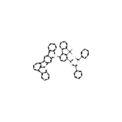 CC1(C)c2ccccc2-c2c(-n3c4ccccc4c4cc5c6cccc7c8ccccc8n(c5cc43)c76)ccc(-c3nc(-c4ccccc4)nc(-c4ccccc4)n3)c21